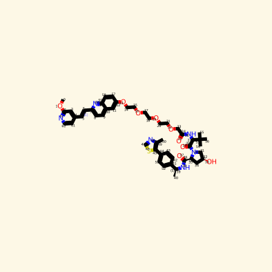 COc1cc(/C=C/c2ccc3cc(OCCOCCOCCOCC(=O)NC(C(=O)N4C[C@H](O)C[C@H]4C(=O)N[C@@H](C)c4ccc(-c5scnc5C)cc4)C(C)(C)C)ccc3n2)ccn1